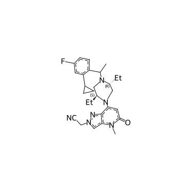 CC[C@H]1CN(C(C)c2ccc(F)cc2C2CC2)[C@H](CC)CN1c1cc(=O)n(C)c2cn(CC#N)nc12